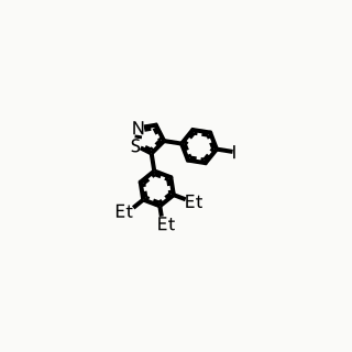 CCc1cc(-c2sncc2-c2ccc(I)cc2)cc(CC)c1CC